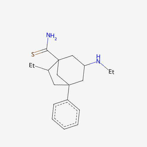 CCNC1CC2(c3ccccc3)CC(CC)C(C(N)=S)(C1)C2